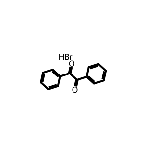 Br.O=C(C(=O)c1ccccc1)c1ccccc1